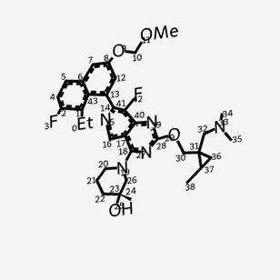 CCc1c(F)ccc2cc(OCOC)cc(-c3ncc4c(N5CCC[C@@](C)(O)C5)nc(OCC5(CN(C)C)CC5C)nc4c3F)c12